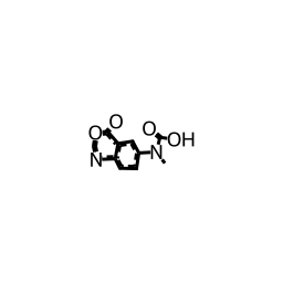 CN(C(=O)O)c1ccc2ncoc(=O)c2c1